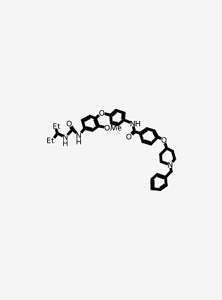 CCC(CC)NC(=O)Nc1ccc(Oc2ccc(NC(=O)c3ccc(OC4CCN(Cc5ccccc5)CC4)cc3)cc2)c(OC)c1